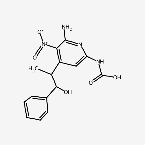 CC(c1cc(NC(=O)O)nc(N)c1[N+](=O)[O-])C(O)c1ccccc1